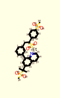 CCS(=O)(=O)C(Cc1cccc(-c2cc(C(C)(C)S(C)(=O)=O)cc3cccnc23)c1)c1ccc(S(C)(=O)=O)cc1